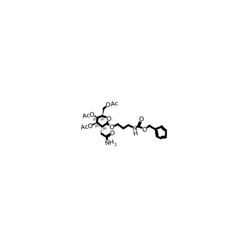 CC(=O)OC[C@H]1OC(OCCCNC(=O)OCc2ccccc2)[C@H](CC(N)=O)[C@@H](OC(C)=O)[C@H]1OC(C)=O